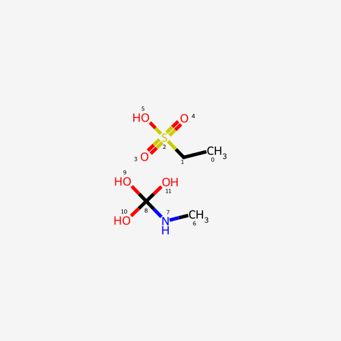 CCS(=O)(=O)O.CNC(O)(O)O